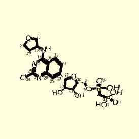 O=P(O)(O)CP(=O)(O)OC[C@H]1O[C@@H](c2ccc3c(NC4CCOC4)nc(Cl)nc3c2)[C@H](O)[C@@H]1O